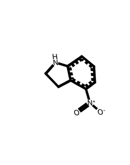 O=[N+]([O-])c1cccc2c1CCN2